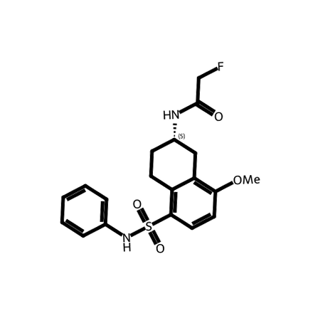 COc1ccc(S(=O)(=O)Nc2ccccc2)c2c1C[C@@H](NC(=O)CF)CC2